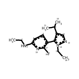 CCNc1ccc(-c2c(C(C)C)cnn2CC)c(F)n1